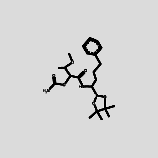 COC(C)C(OC(N)=O)C(=O)NC(CCCc1ccccc1)B1OC(C)(C)C(C)(C)O1